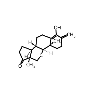 C=C1CC[C@@]2(C)C(=C1O)CC[C@@H]1[C@@H]2CC[C@]2(C)C(=O)CC[C@@H]12